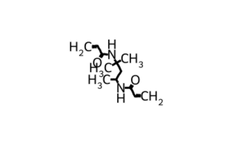 C=CC(=O)NC(C)CC(C)(C)NC(=O)C=C